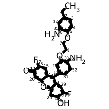 CCc1ccc(OCCOc2cc(-c3c4cc(F)c(=O)cc-4oc4cc(O)c(F)cc34)ccc2N)c(N)c1